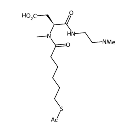 CNCCNC(=O)[C@H](CC(=O)O)N(C)C(=O)CCCCCSC(C)=O